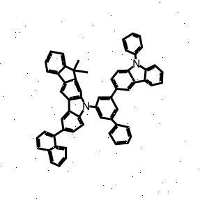 CC1(C)c2ccccc2-c2cc3c4cc(-c5cccc6ccccc56)ccc4n(-c4cc(-c5ccccc5)cc(-c5ccc6c(c5)c5ccccc5n6-c5ccccc5)c4)c3cc21